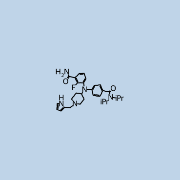 CC(C)N(C(=O)c1ccc(N(c2cccc(C(N)=O)c2F)C2CCN(Cc3ccc[nH]3)CC2)cc1)C(C)C